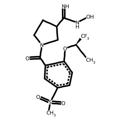 C[C@@H](Oc1ccc(S(C)(=O)=O)cc1C(=O)N1CCC(C(=N)NO)C1)C(F)(F)F